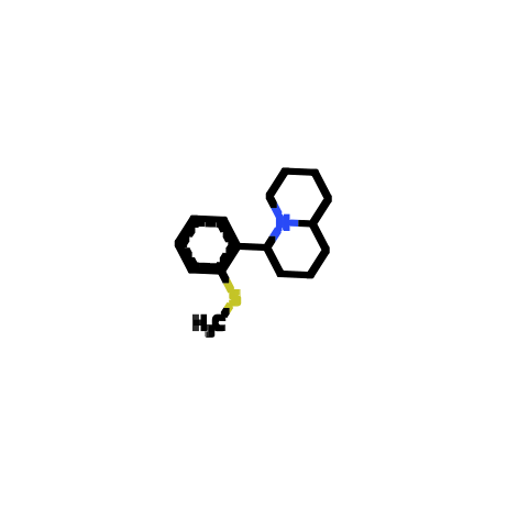 CSc1ccccc1C1CCCC2CCCCN21